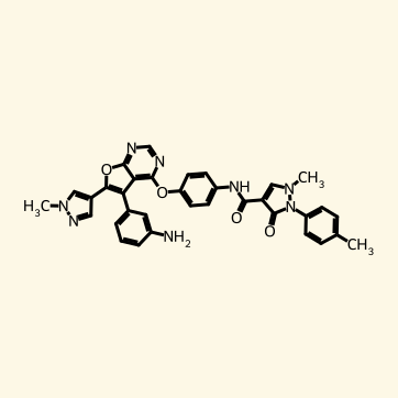 Cc1ccc(-n2c(=O)c(C(=O)Nc3ccc(Oc4ncnc5oc(-c6cnn(C)c6)c(-c6cccc(N)c6)c45)cc3)cn2C)cc1